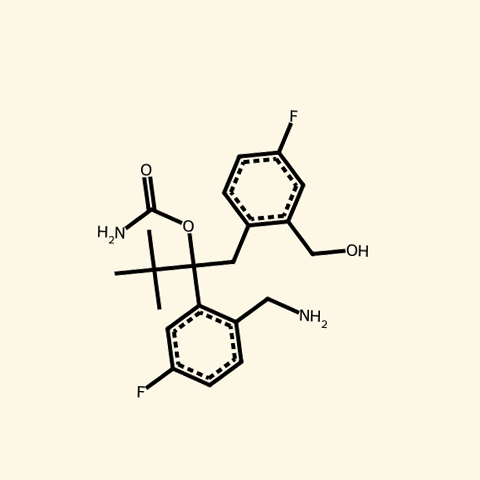 CC(C)(C)C(Cc1ccc(F)cc1CO)(OC(N)=O)c1cc(F)ccc1CN